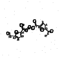 CC(=O)c1ccc(C(=O)OOOC(=O)c2ccc(C=O)o2)o1